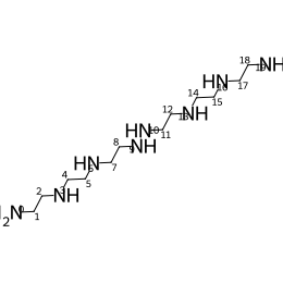 NCCNCCNCCNNCCNCCNCCN